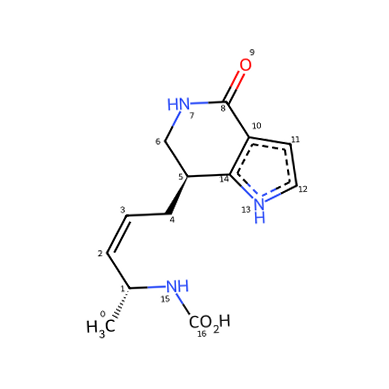 C[C@H](/C=C\C[C@H]1CNC(=O)c2cc[nH]c21)NC(=O)O